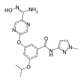 CC(C)Oc1cc(Oc2cnc(/C(N)=N\O)cn2)cc(C(=O)Nc2ccn(C)n2)c1